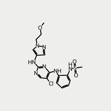 COCCn1cc(Nc2ncc(Cl)c(Nc3ccccc3NS(C)(=O)=O)n2)cn1